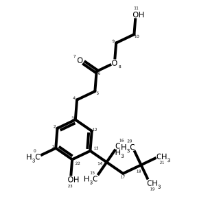 Cc1cc(CCC(=O)OCCO)cc(C(C)(C)CC(C)(C)C)c1O